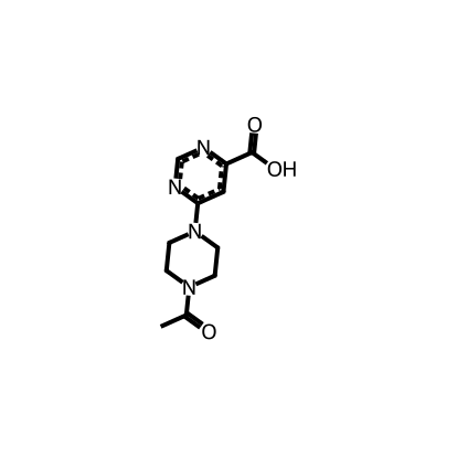 CC(=O)N1CCN(c2cc(C(=O)O)ncn2)CC1